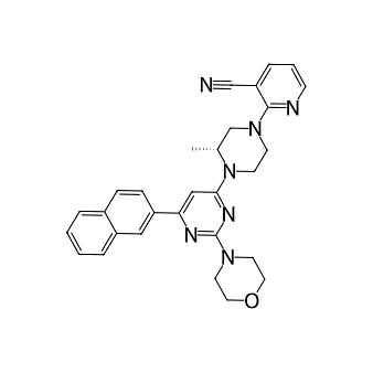 C[C@@H]1CN(c2ncccc2C#N)CCN1c1cc(-c2ccc3ccccc3c2)nc(N2CCOCC2)n1